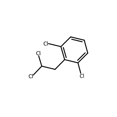 Clc1cccc(Cl)c1CC(Cl)Cl